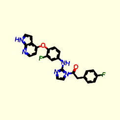 O=C(Cc1ccc(F)cc1)n1ccnc1Nc1ccc(Oc2ccnc3[nH]ccc23)c(F)c1